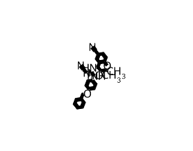 CC1(C)Oc2ccc(C#N)cc2C(N/C(=N\C#N)Nc2ccc(OCc3ccccc3)cc2)C1O